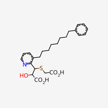 O=C(O)CSC(c1ncccc1CCCCCCCCc1ccccc1)C(O)C(=O)O